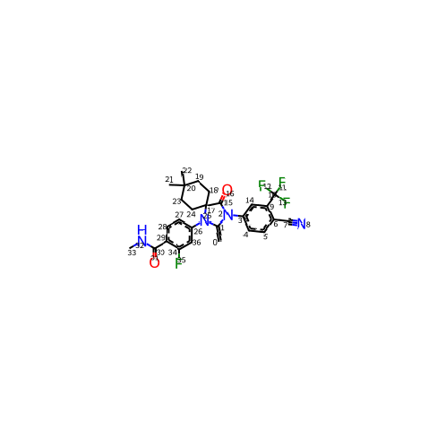 C=C1N(c2ccc(C#N)c(C(F)(F)F)c2)C(=O)C2(CCC(C)(C)CC2)N1c1ccc(C(=O)NC)c(F)c1